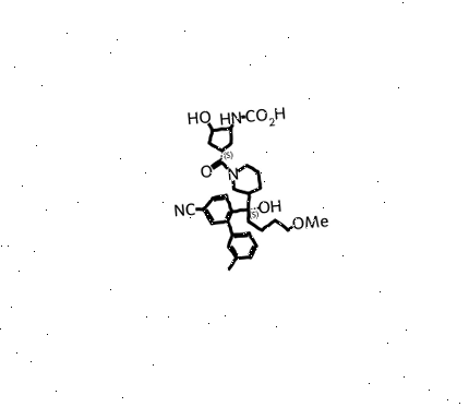 COCCCC[C@@](O)(c1ccc(C#N)cc1-c1cccc(C)c1)C1CCCN(C(=O)[C@@H]2CC(O)C(NC(=O)O)C2)C1